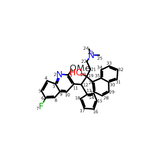 COc1nc2ccc(F)cc2cc1C(c1ccccc1)C(O)(CCN(C)C)c1cccc2ccccc12